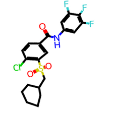 O=C(Nc1cc(F)c(F)c(F)c1)c1ccc(Cl)c(S(=O)(=O)CC2CCCCC2)c1